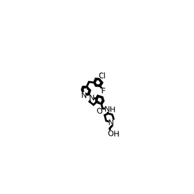 O=C(NC1CCN(CCO)CC1)c1cccc2c1CCN2c1cc(Cc2cc(F)cc(Cl)c2)ccn1